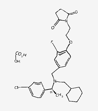 C[C@@H](c1ccc(Cl)cc1)N(Cc1ccc(OCCN2C(=O)CCC2=O)c(F)c1)CC1CCCCC1.O=C(O)O